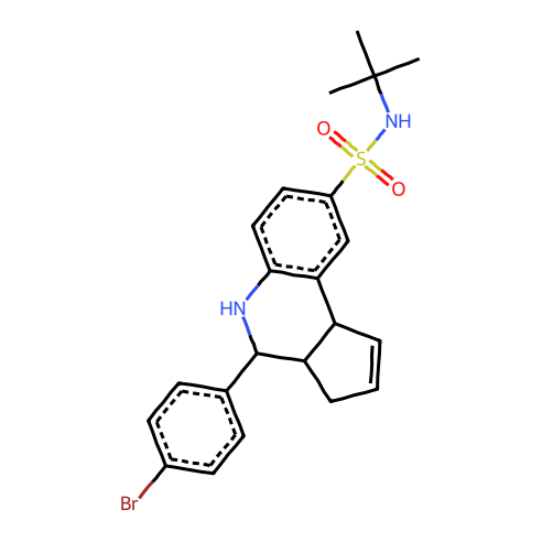 CC(C)(C)NS(=O)(=O)c1ccc2c(c1)C1C=CCC1C(c1ccc(Br)cc1)N2